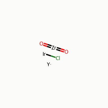 [Cl][Ir].[O]=[Zr]=[O].[Y]